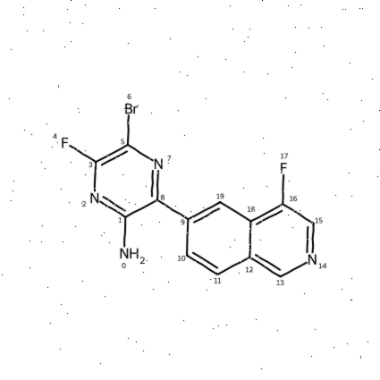 Nc1nc(F)c(Br)nc1-c1ccc2cncc(F)c2c1